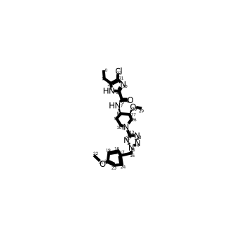 CCc1[nH]c(C(=O)N[C@@H]2CCN(c3nnn(Cc4ccc(OC)cc4)n3)C[C@@H]2OC)nc1Cl